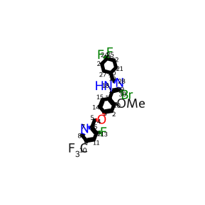 COc1cc(OCc2ncc(C(F)(F)F)cc2F)ccc1-c1[nH]c(C2CCC(F)(F)CC2)nc1Br